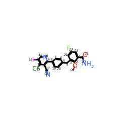 COc1c(Cc2ccc(-c3ncc(I)c(Cl)c3C#N)cc2)cc(F)cc1C(N)=O